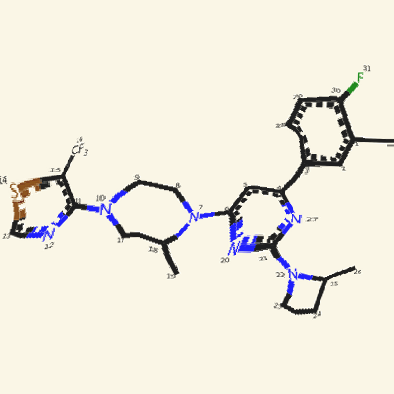 Cc1cc(-c2cc(N3CCN(c4ncsc4C(F)(F)F)CC3C)nc(N3CCC3C)n2)ccc1F